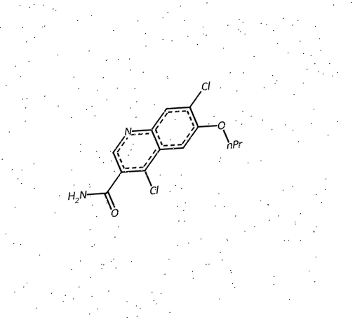 CCCOc1cc2c(Cl)c(C(N)=O)cnc2cc1Cl